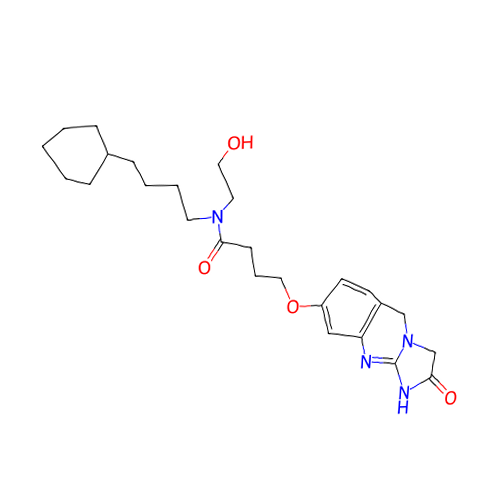 O=C1CN2Cc3ccc(OCCCC(=O)N(CCO)CCCCC4CCCCC4)cc3N=C2N1